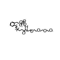 COCCOCCOCCOCCNC(=O)CCC(C)(C)SSc1ccccc1CCOP(=O)(OC)OC